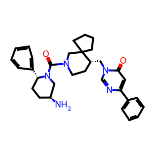 N[C@H]1CC[C@H](c2ccccc2)N(C(=O)N2CC[C@@H](Cn3cnc(-c4ccccc4)cc3=O)C3(CCCC3)C2)C1